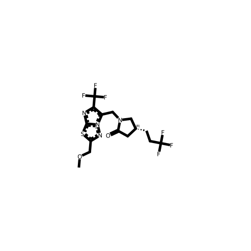 COCc1nn2c(CN3C[C@H](CCC(F)(F)F)CC3=O)c(C(F)(F)F)nc2s1